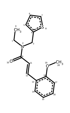 CCN(Cc1cccs1)C(=O)C=Cc1ccccc1OC